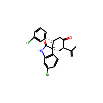 C=C(C)C1C[C@]2(C(=O)Nc3cc(Br)ccc32)[C@H](c2cccc(Cl)c2)CC1=O